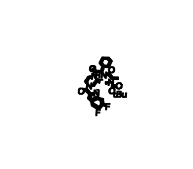 CC(C(=O)NC(C(=O)N1CCN(C(=O)c2cc3cc(F)c(F)cc3n2C)C[C@H]1C)C1CCCCC1)N(C)C(=O)OC(C)(C)C